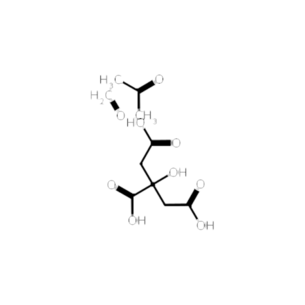 C=O.CC(C)=O.O=C(O)CC(O)(CC(=O)O)C(=O)O